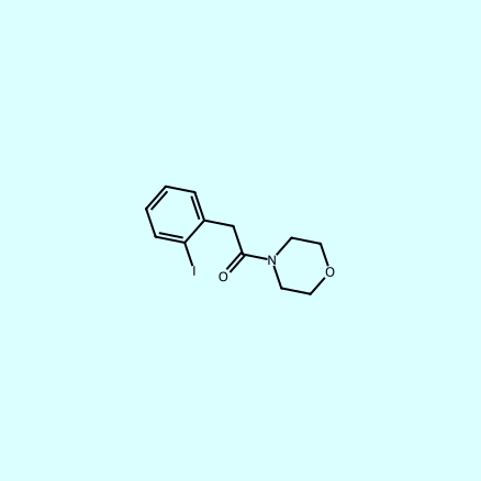 O=C(Cc1ccccc1I)N1CCOCC1